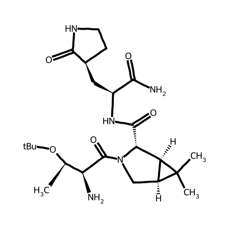 C[C@@H](OC(C)(C)C)[C@H](N)C(=O)N1C[C@H]2[C@@H]([C@H]1C(=O)N[C@@H](C[C@@H]1CCNC1=O)C(N)=O)C2(C)C